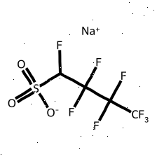 O=S(=O)([O-])C(F)C(F)(F)C(F)(F)C(F)(F)F.[Na+]